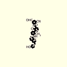 Cc1c(Nc2nccc3cc(CN4CCC(O)C4)cnc23)cccc1-c1nccc(-c2nc3cc(C=O)cc(C#N)c3o2)c1Cl